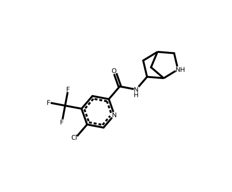 O=C(NC1CC2CNC1C2)c1cc(C(F)(F)F)c(Cl)cn1